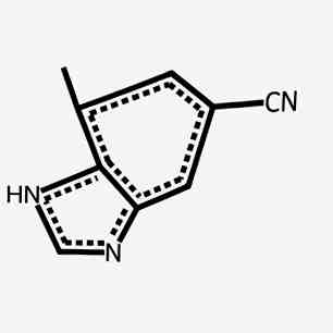 Cc1cc(C#N)cc2nc[nH]c12